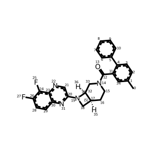 Cc1ccc(-c2ccccc2)c(C(=O)N2CC[C@H]3CN(c4cnc5c(F)c(F)ccc5n4)[C@H]3C2)c1